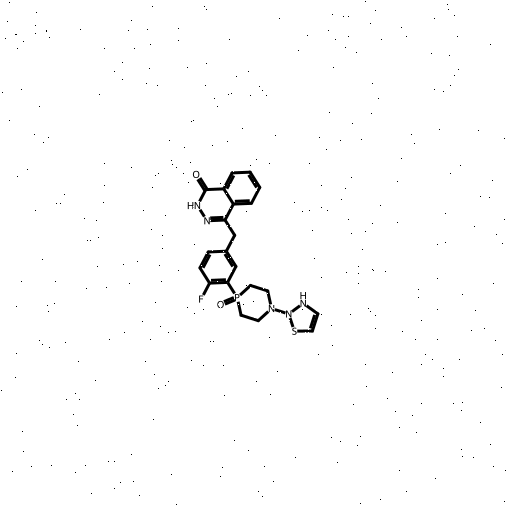 O=c1[nH]nc(Cc2ccc(F)c(P3(=O)CCN(N4NC=CS4)CC3)c2)c2ccccc12